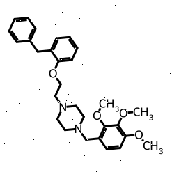 COc1ccc(CN2CCN(CCOc3ccccc3Cc3ccccc3)CC2)c(OC)c1OC